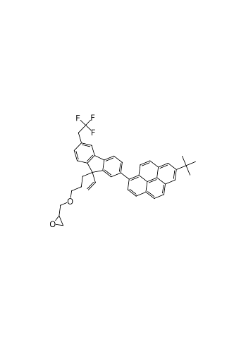 C=CC1(CCCOCC2CO2)c2ccc(CC(F)(F)F)cc2-c2ccc(-c3ccc4ccc5cc(C(C)(C)C)cc6ccc3c4c56)cc21